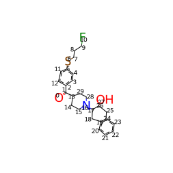 O=C(c1ccc(SCCCF)cc1)C1CCN(C2Cc3ccccc3C[C@H]2O)CC1